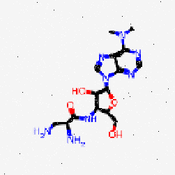 CN(C)c1ncnc2c1ncn2C1OC(CO)C(NC(=O)C(N)CN)C1O